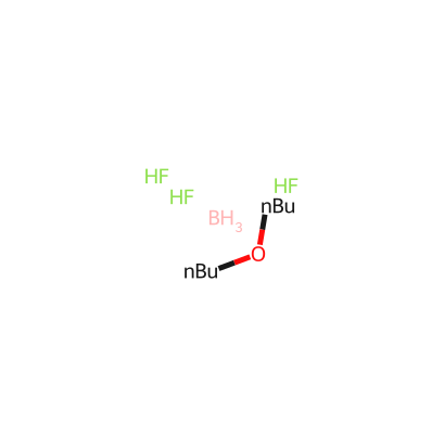 B.CCCCOCCCC.F.F.F